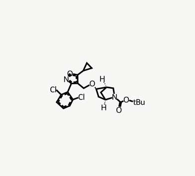 CC(C)(C)OC(=O)N1C[C@H]2C[C@@H]1C[C@@H]2OCc1c(-c2c(Cl)cccc2Cl)noc1C1CC1